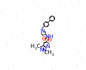 Cc1nn(C)c2ncc(S(=O)(=O)N[C@@H]3CCN(Cc4ccc(-c5ccccc5)cc4)C3)cc12